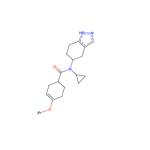 CC(C)OC1=CCC(C(=O)N(C2CC2)C2CCc3[nH]ncc3C2)CC1